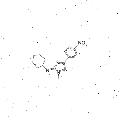 Cn1nc(-c2ccc([N+](=O)[O-])cc2)sc1=NC1CCCCC1